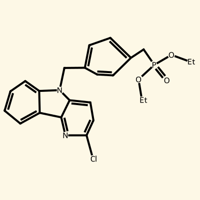 CCOP(=O)(Cc1ccc(Cn2c3ccccc3c3nc(Cl)ccc32)cc1)OCC